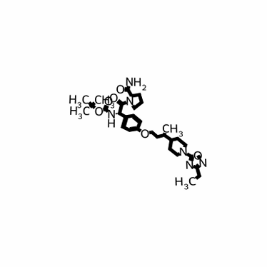 CCc1noc(N2CCC(C(C)CCOc3ccc([C@H](NC(=O)OC(C)(C)C)C(=O)N4CCCC4C(N)=O)cc3)CC2)n1